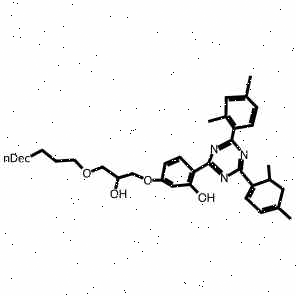 CCCCCCCCCCCCCOCC(O)COc1ccc(-c2nc(C3=CC=C(C)CC3C)nc(-c3ccc(C)cc3C)n2)c(O)c1